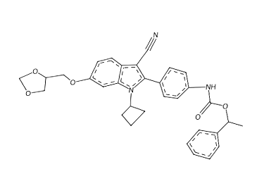 CC(OC(=O)Nc1ccc(-c2c(C#N)c3ccc(OCC4COCO4)cc3n2C2CCC2)cc1)c1ccccc1